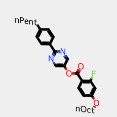 CCCCCCCCOc1ccc(C(=O)Oc2cnc(-c3ccc(CCCCC)cc3)nc2)c(F)c1